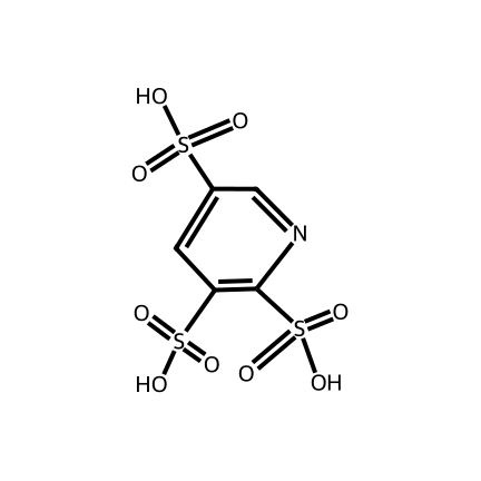 O=S(=O)(O)c1cnc(S(=O)(=O)O)c(S(=O)(=O)O)c1